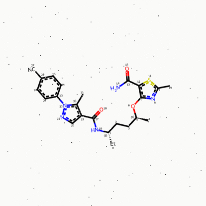 CC[C@@H](CC[C@H](C)Oc1nc(C)sc1C(N)=O)NC(=O)c1cnn(-c2ccc(C#N)cc2)c1C